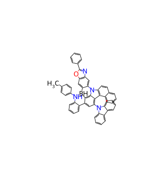 Cc1ccc(Nc2ccccc2-c2cc(-n3c4ccccc4c4ccccc43)c3c4c5ccccc5ccc4n4c3c2Bc2cc3oc(-c5ccccc5)nc3cc2-4)cc1